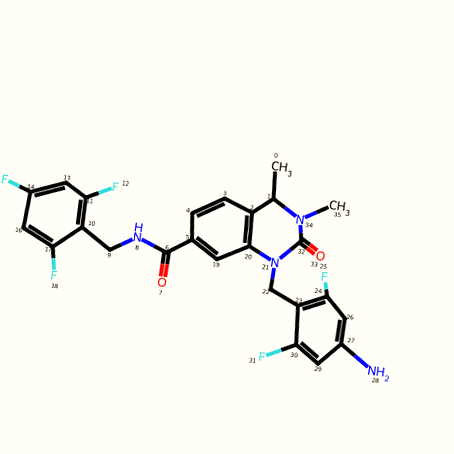 CC1c2ccc(C(=O)NCc3c(F)cc(F)cc3F)cc2N(Cc2c(F)cc(N)cc2F)C(=O)N1C